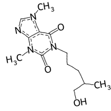 CC(CO)CCCn1c(=O)c2c(ncn2C)n(C)c1=O